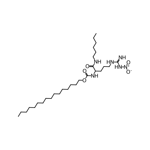 CCCCCCCCCCCCCCCCOC(=O)NC(CCCNC(=N)N[N+](=O)[O-])C(=O)NCCCCCC